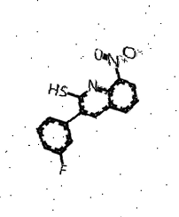 O=[N+]([O-])c1cccc2cc(-c3cccc(F)c3)c(S)nc12